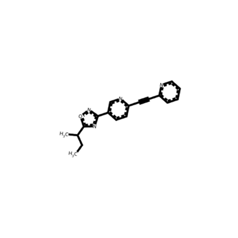 CCC(C)c1nc(-c2ccc(C#Cc3ccccn3)nc2)no1